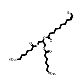 CC/C=C\CCCCCCCC(=O)OC(COC(=O)CCCCCCCCCCCCCCC)COC(=O)CCCCCCCCCCCCCCC